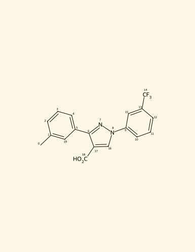 Cc1cccc(-c2nn(-c3cccc(C(F)(F)F)c3)cc2C(=O)O)c1